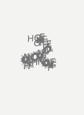 FC1(F)CCCN(c2nc3c(c(Nc4ccc(C(F)(F)F)cc4)n2)CCN(c2ncccc2C(F)(F)F)CC3)C1.O=C(O)C(F)(F)F